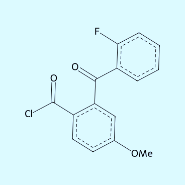 COc1ccc(C(=O)Cl)c(C(=O)c2ccccc2F)c1